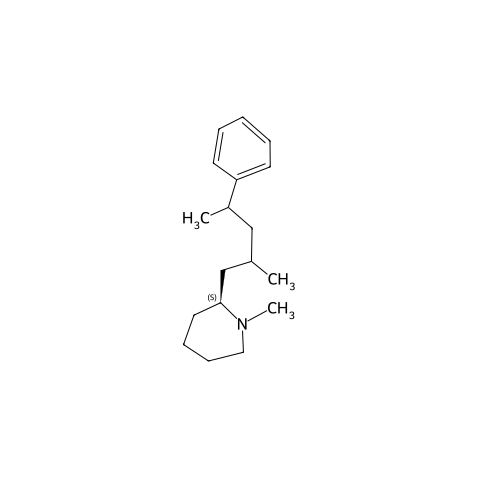 CC(CC(C)c1ccccc1)C[C@@H]1CCCCN1C